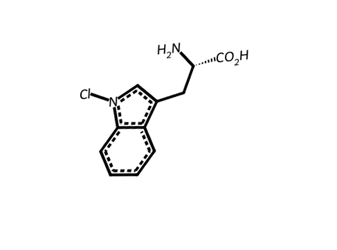 N[C@@H](Cc1cn(Cl)c2ccccc12)C(=O)O